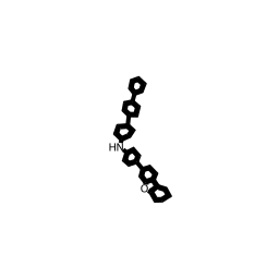 c1ccc(-c2ccc(-c3ccc(Nc4ccc(-c5ccc6c(c5)oc5ccccc56)cc4)cc3)cc2)cc1